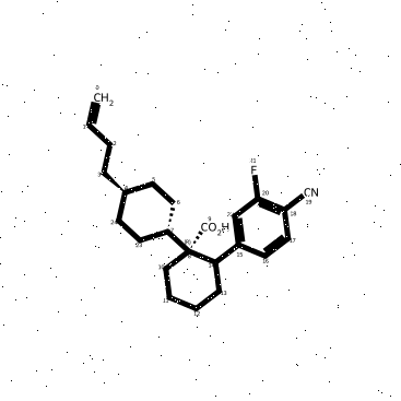 C=CCC[C@H]1CC[C@H]([C@]2(C(=O)O)CCCCC2c2ccc(C#N)c(F)c2)CC1